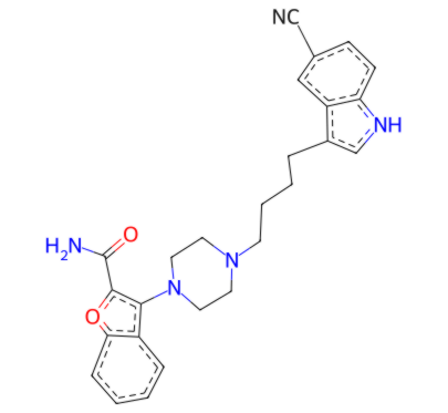 N#Cc1ccc2[nH]cc(CCCCN3CCN(c4c(C(N)=O)oc5ccccc45)CC3)c2c1